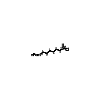 CCCCCCCCCCC[SiH2]Cl